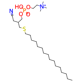 CCCCCCCCCCCCCCCCSCC(CC#N)COP(=O)(O)OCC[N+](C)(C)C